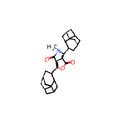 CN1C(=O)C2=C(C34CC5CC6CC(C3)C6(C5)C4)OC(=O)C2=C1C12CC3CC4CC(C1)C4(C3)C2